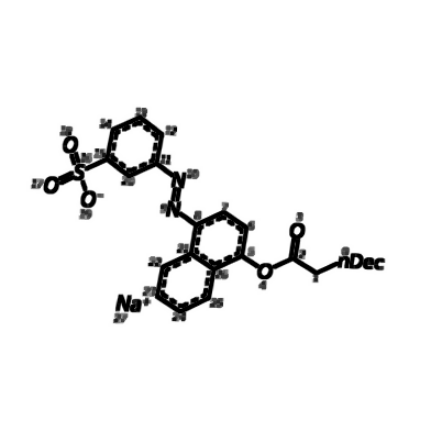 CCCCCCCCCCCC(=O)Oc1ccc(N=Nc2cccc(S(=O)(=O)[O-])c2)c2ccccc12.[Na+]